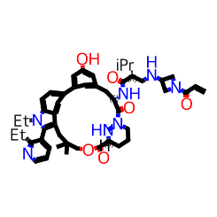 C=CC(=O)N1CC(NC[C@H](C(=O)N[C@H]2Cc3cc(O)cc(c3)-c3ccc4c(c3)c(c(-c3cccnc3CC)n4CC)CC(C)(C)COC(=O)[C@@H]3CCCN(N3)C2=O)C(C)C)C1